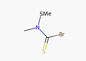 CSN(C)C(=S)Br